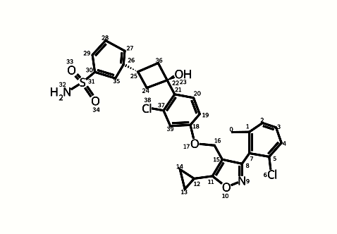 Cc1cccc(Cl)c1-c1noc(C2CC2)c1COc1ccc([C@]2(O)C[C@H](c3cccc(S(N)(=O)=O)c3)C2)c(Cl)c1